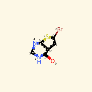 O=c1[nH]cnc2sc(Br)cc12